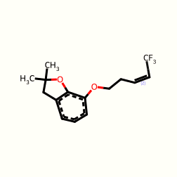 CC1(C)Cc2cccc(OCC/C=C\C(F)(F)F)c2O1